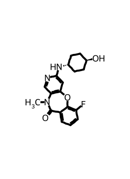 CN1C(=O)c2cccc(F)c2Oc2cc(N[C@H]3CC[C@H](O)CC3)ncc21